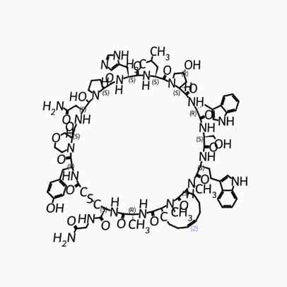 CC(C)C[C@@H]1NC(=O)[C@H](Cc2cnc[nH]2)NC(=O)[C@@H]2CCCN2C(O)[C@H](CC(N)=O)NC(=O)[C@@H]2COCCN2C(=O)[C@H](Cc2ccc(O)cc2)NC(=O)CSC[C@H](C(=O)NCC(N)=O)NC(=O)[C@@H](C)NC(=O)C2CCC/C=C\CCC[C@@H](C(=O)N2C)N(C)C(=O)[C@H](CCc2c[nH]c3ccccc23)NC(=O)[C@H](CO)NC(=O)[C@@H](Cc2c[nH]c3ccccc23)NC(=O)[C@@H]2C[C@@H](O)CN2C1=O